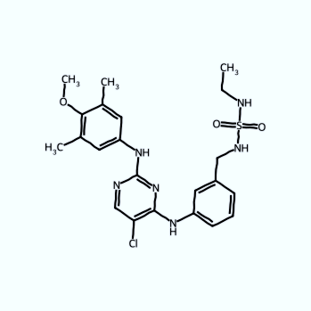 CCNS(=O)(=O)NCc1cccc(Nc2nc(Nc3cc(C)c(OC)c(C)c3)ncc2Cl)c1